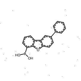 OB(O)c1cccc2c1oc1ccc(-c3ccccc3)cc12